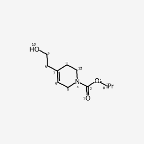 CC(C)OC(=O)N1CC=C(CCO)CC1